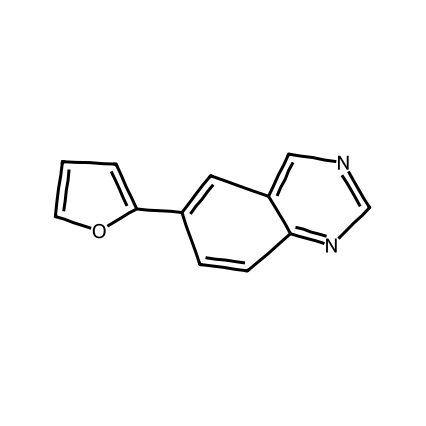 c1coc(-c2ccc3ncncc3c2)c1